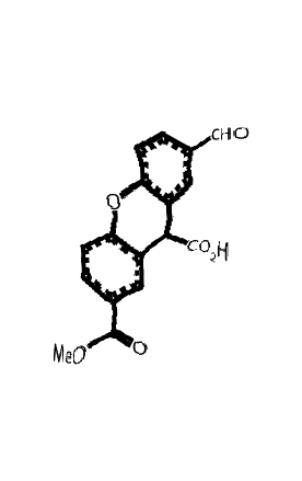 COC(=O)c1ccc2c(c1)C(C(=O)O)c1cc(C=O)ccc1O2